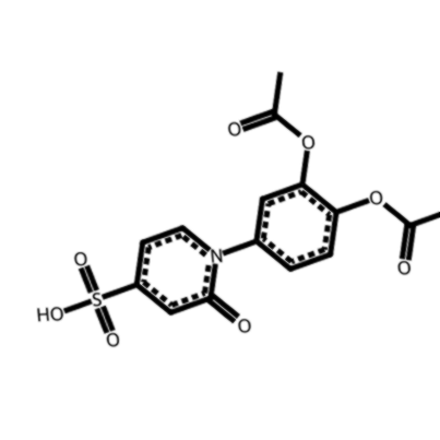 CC(=O)Oc1ccc(-n2ccc(S(=O)(=O)O)cc2=O)cc1OC(C)=O